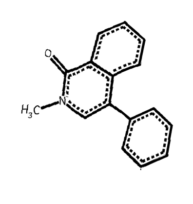 Cn1cc(-c2c[c]ccc2)c2ccccc2c1=O